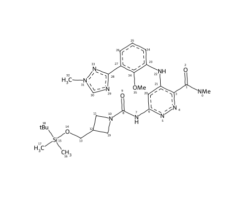 CNC(=O)c1nnc(NC(=O)N2CC(CO[Si](C)(C)C(C)(C)C)C2)cc1Nc1cccc(-c2ncn(C)n2)c1OC